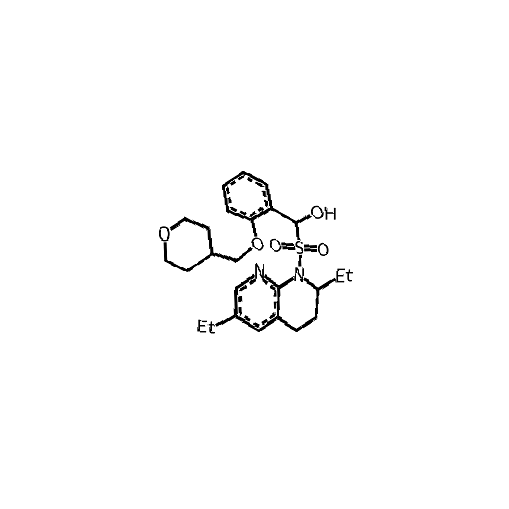 CCc1cnc2c(c1)CCC(CC)N2S(=O)(=O)C(O)c1ccccc1OCC1CCOCC1